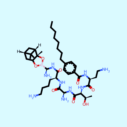 CCCCCCCCc1ccc(C(=O)N[C@@H](CCN)C(=O)N[C@H](C(=O)N[C@@H](N)C(=O)N[C@@H](CCCCN)C(=O)N[C@@H](N)B2OC3C[C@@H]4C[C@@H](C4(C)C)[C@]3(C)O2)[C@@H](C)O)cc1